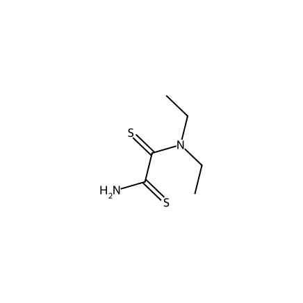 CCN(CC)C(=S)C(N)=S